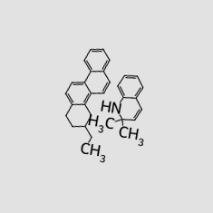 CC1(C)C=Cc2ccccc2N1.CCC1CCc2ccc3c(ccc4ccccc43)c2C1